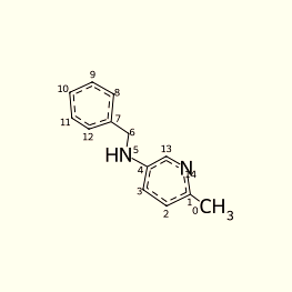 Cc1ccc(NCc2ccccc2)cn1